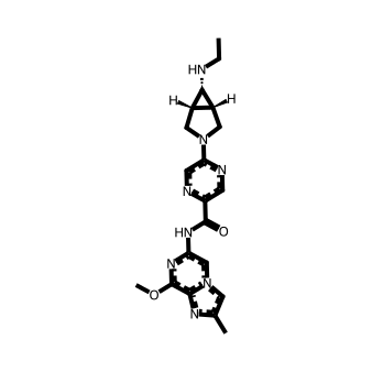 CCN[C@@H]1[C@@H]2CN(c3cnc(C(=O)Nc4cn5cc(C)nc5c(OC)n4)cn3)C[C@@H]21